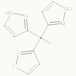 [Sn][C](c1cc[nH]n1)(c1cc[nH]n1)c1cc[nH]n1